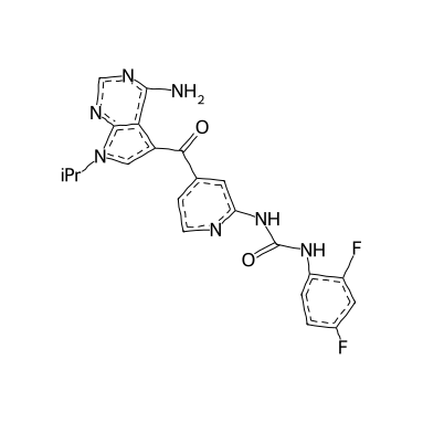 CC(C)n1cc(C(=O)c2ccnc(NC(=O)Nc3ccc(F)cc3F)c2)c2c(N)ncnc21